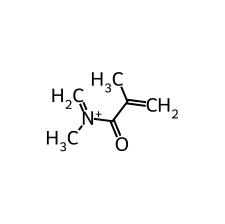 C=C(C)C(=O)[N+](=C)C